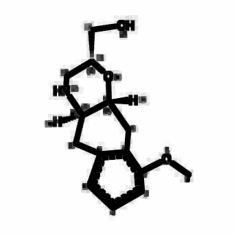 COc1cccc2c1C[C@H]1O[C@@H](CO)CN[C@@H]1C2